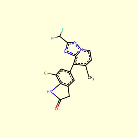 O=C1Cc2cc(-c3c(C(F)(F)F)ccn4nc(C(F)F)nc34)cc(Cl)c2N1